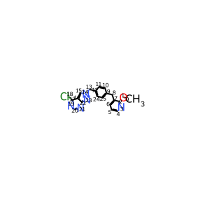 COc1ncccc1Cc1ccc(Cn2cc3c(Cl)ncnc3n2)cc1